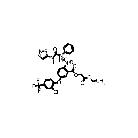 CCOC(=O)COC(=O)c1cc(Oc2ccc(C(F)(F)F)cc2Cl)ccc1[N+](=O)[O-].O=C(Nc1ccccc1)Nc1cnns1